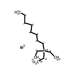 CCCCCCCC[P+](CC)(CC)CC.[Br-]